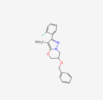 CCOC(=O)c1c(-c2ccccc2F)nn2c1OCC(OCc1ccccc1)C2